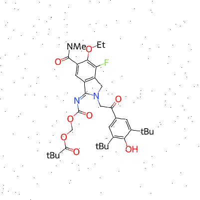 CCOc1c(C(=O)NC)cc2c(c1F)CN(CC(=O)c1cc(C(C)(C)C)c(O)c(C(C)(C)C)c1)/C2=N\C(=O)OCOC(=O)C(C)(C)C